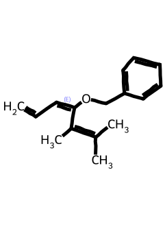 C=C/C=C(/OCc1ccccc1)C(C)=C(C)C